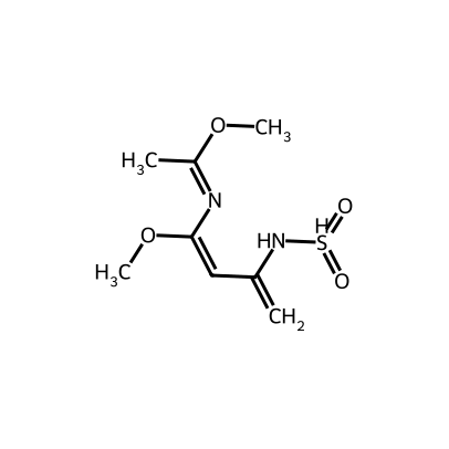 C=C(/C=C(\N=C(/C)OC)OC)N[SH](=O)=O